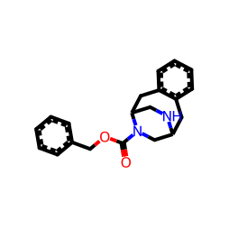 O=C(OCc1ccccc1)N1CC2Cc3ccccc3CC1CN2